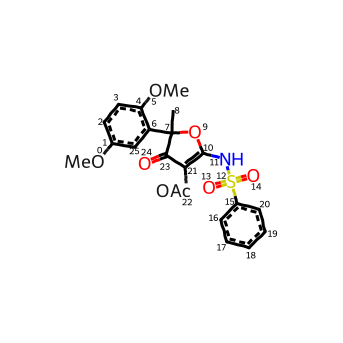 COc1ccc(OC)c(C2(C)OC(NS(=O)(=O)c3ccccc3)=C(OC(C)=O)C2=O)c1